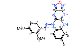 COc1ccc(/C=N/Nc2nc3nonc3nc2Nc2cccc(C)c2C)c(OC)c1